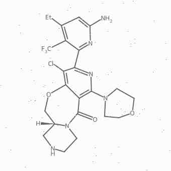 CCc1cc(N)nc(-c2nc(N3CCOCC3)c3c(c2Cl)OC[C@H]2CNCCN2C3=O)c1C(F)(F)F